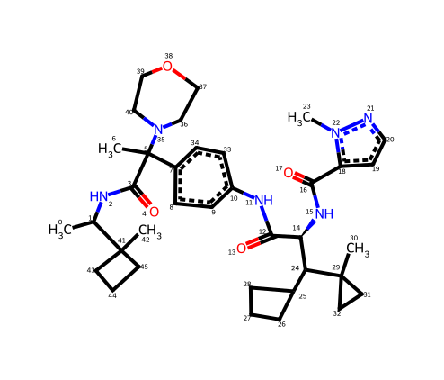 CC(NC(=O)C(C)(c1ccc(NC(=O)[C@@H](NC(=O)c2ccnn2C)C(C2CCC2)C2(C)CC2)cc1)N1CCOCC1)C1(C)CCC1